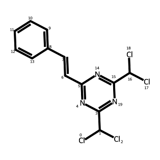 ClC(Cl)c1nc(C=Cc2ccccc2)nc(C(Cl)Cl)n1